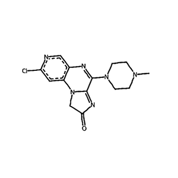 CN1CCN(C2=Nc3cnc(Cl)cc3N3CC(=O)N=C23)CC1